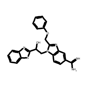 N=C(N)c1ccc2c(c1)nc(COc1ccccc1)n2CC(O)c1nc2ccccc2s1